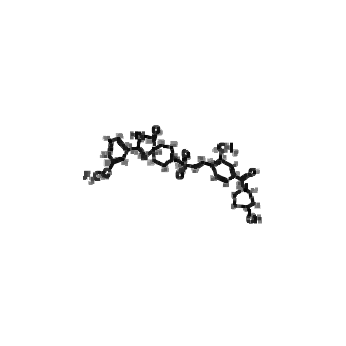 Cc1cc(C(=O)N2CCC(O)CC2)ccc1C=CS(=O)(=O)N1CCC2(CC1)N=C(c1cccc(OC(F)(F)F)c1)NC2=O